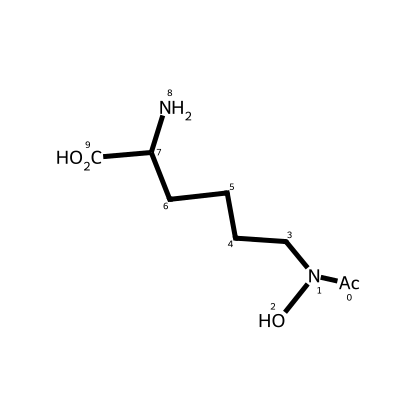 CC(=O)N(O)CCCCC(N)C(=O)O